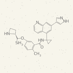 Cc1ccc(OC([SiH3])[C@@H]2CCN2)cc1C(=O)NC1(c2cc(-c3cn[nH]c3)cc3ncccc23)CC1